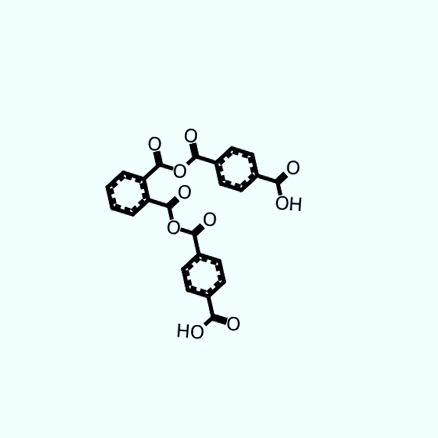 O=C(O)c1ccc(C(=O)OC(=O)c2ccccc2C(=O)OC(=O)c2ccc(C(=O)O)cc2)cc1